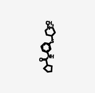 CN1CCC(Sc2cccc(NC(=O)C3CCCC3)c2)CC1